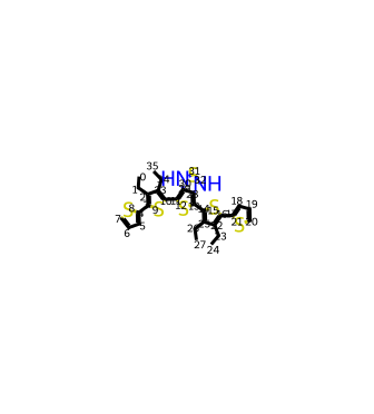 CCc1c(-c2cccs2)sc(-c2sc(-c3sc(-c4cccs4)c(CC)c3CC)c3c2NSN3)c1CC